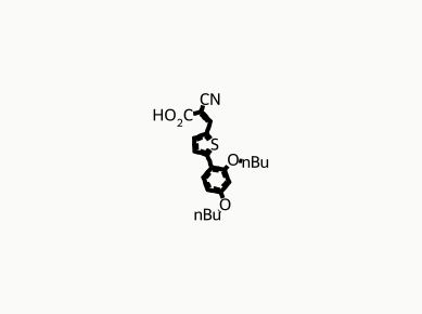 CCCCOc1ccc(-c2ccc(/C=C(/C#N)C(=O)O)s2)c(OCCCC)c1